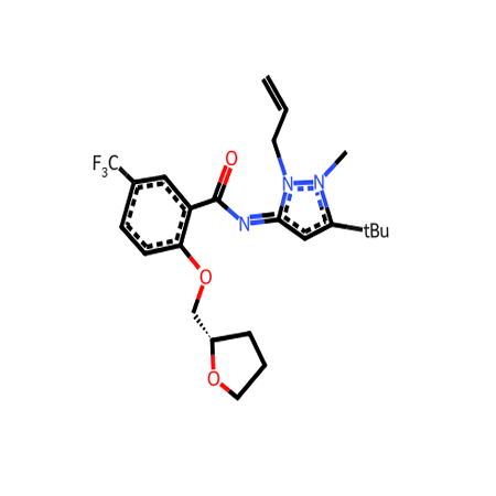 C=CCn1c(=NC(=O)c2cc(C(F)(F)F)ccc2OC[C@@H]2CCCO2)cc(C(C)(C)C)n1C